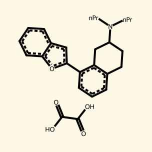 CCCN(CCC)C1CCc2cccc(-c3cc4ccccc4o3)c2C1.O=C(O)C(=O)O